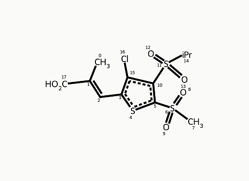 CC(=Cc1sc(S(C)(=O)=O)c(S(=O)(=O)C(C)C)c1Cl)C(=O)O